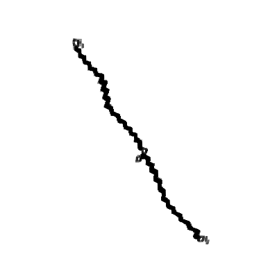 CCCCCCCCC=CCCCCCCCCCCCC(=O)OCCCCCCCCCCCCCCCCCCCCCCCCCCCCCC